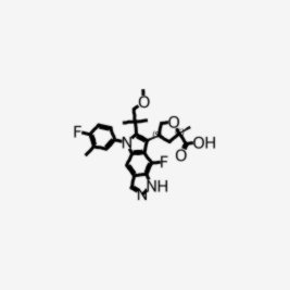 COCC(C)(C)c1c([C@H]2CO[C@](C)(C(=O)O)C2)c2c(F)c3[nH]ncc3cc2n1-c1ccc(F)c(C)c1